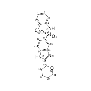 O=S(=O)(Nc1ccccc1Cl)c1ccc2[nH]c(C3CCCCO3)nc2c1